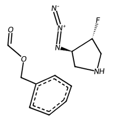 O=COCc1ccccc1.[N-]=[N+]=N[C@@H]1CNC[C@H]1F